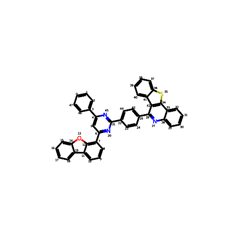 c1ccc(-c2cc(-c3cccc4c3oc3ccccc34)nc(-c3ccc(-c4nc5ccccc5c5sc6ccccc6c45)cc3)n2)cc1